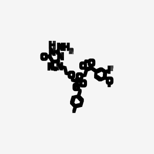 COc1ccc(C2=C(COP(=O)(COCCn3cnc4c(=O)[nH]c(N)nc43)OCc3ccc(C)cc3)OCO2)cc1F